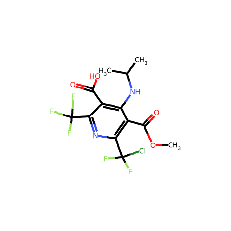 COC(=O)c1c(C(F)(F)Cl)nc(C(F)(F)F)c(C(=O)O)c1NC(C)C